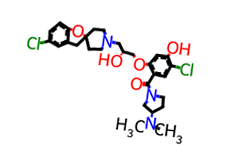 CN(C)[C@@H]1CCN(C(=O)c2cc(Cl)c(O)cc2OC[C@H](O)CN2CCC3(CC2)Cc2cc(Cl)ccc2O3)C1